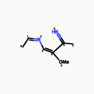 C/C=N\C=C(\OC)C(C)=N